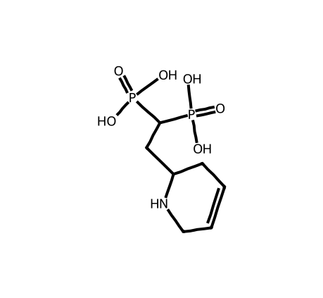 O=P(O)(O)C(CC1CC=CCN1)P(=O)(O)O